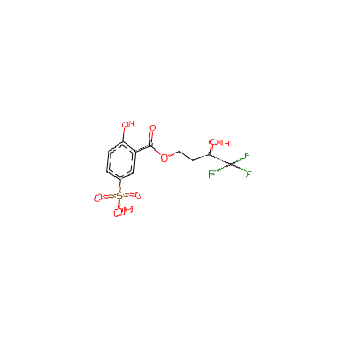 O=C(OCCC(O)C(F)(F)F)c1cc(S(=O)(=O)O)ccc1O